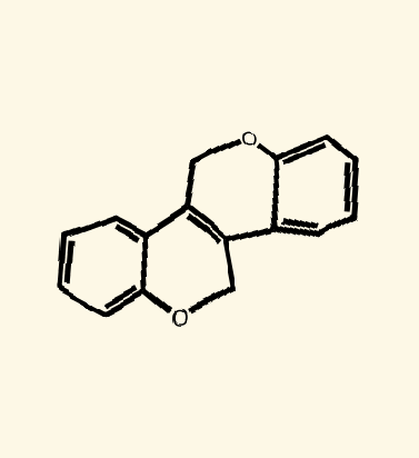 c1ccc2c(c1)OCC1=C2COc2ccccc21